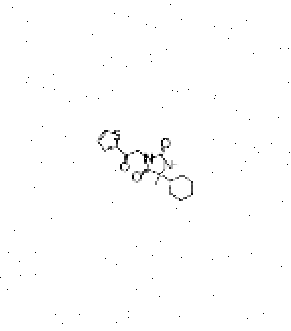 CN1C(=O)N(CC(=O)c2cccs2)C(=O)C1(C)C1CCCCC1